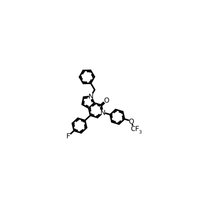 O=c1c2c(ccn2Cc2ccccc2)c(-c2ccc(F)cc2)cn1-c1ccc(OC(F)(F)F)cc1